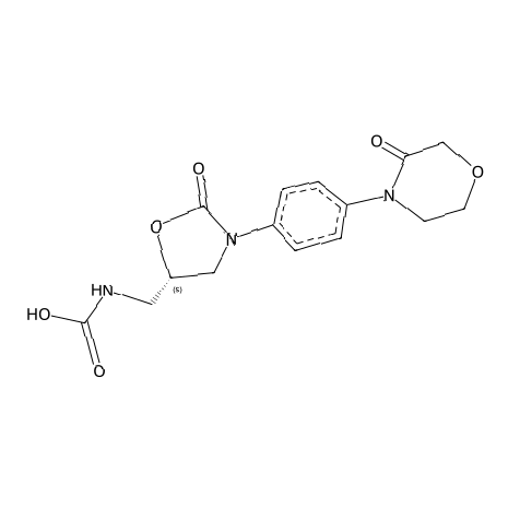 O=C(O)NC[C@H]1CN(c2ccc(N3CCOCC3=O)cc2)C(=O)O1